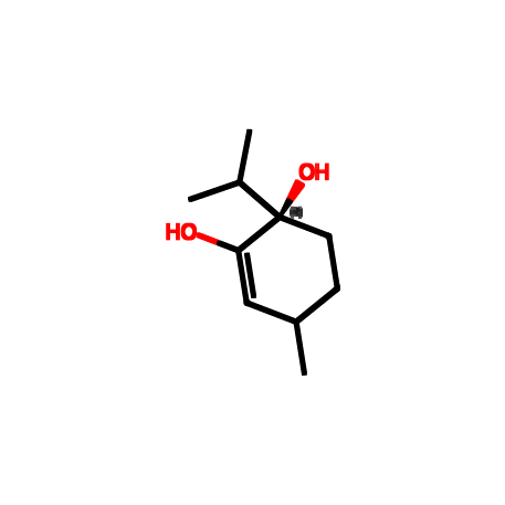 CC1C=C(O)[C@](O)(C(C)C)CC1